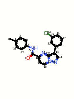 Cc1ccc(NC(=O)c2ccn3ncc(-c4cccc(Cl)c4)c3n2)cc1